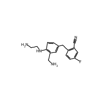 N#Cc1cc(F)ccc1Cc1ccc(NCCN)c(CN)c1